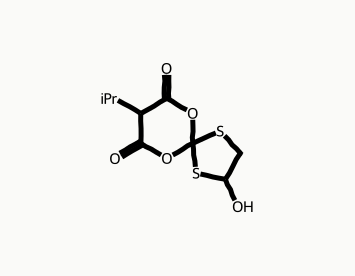 CC(C)C1C(=O)OC2(OC1=O)SCC(O)S2